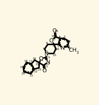 Cc1ccc2c(n1)C1(CCN(C3=NC(=O)C4(Cc5ccccc5C4)O3)CC1)OC2=O